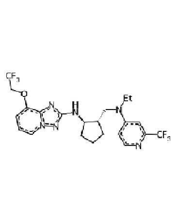 CCN(C[C@@H]1CCC[C@H]1Nc1nc2c(OCC(F)(F)F)cccn2n1)c1ccnc(C(F)(F)F)c1